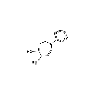 CC1C=CN(c2ccccc2)CCC1O